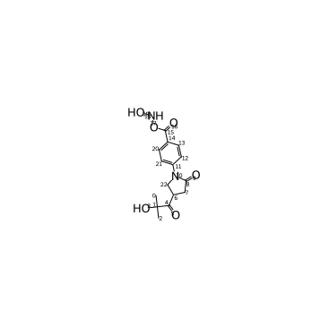 CC(C)(O)C(=O)C1CC(=O)N(c2ccc(C(=O)ONO)cc2)C1